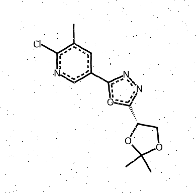 Cc1cc(-c2nnc([C@@H]3COC(C)(C)O3)o2)cnc1Cl